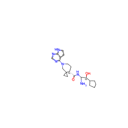 NC(NC(=O)[C@H]1CCN(c2ncnc3[nH]ccc23)CC12CC2)[C@@H](O)C1CCCC1